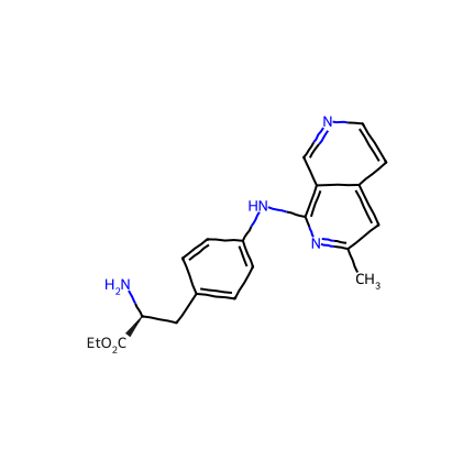 CCOC(=O)[C@@H](N)Cc1ccc(Nc2nc(C)cc3ccncc23)cc1